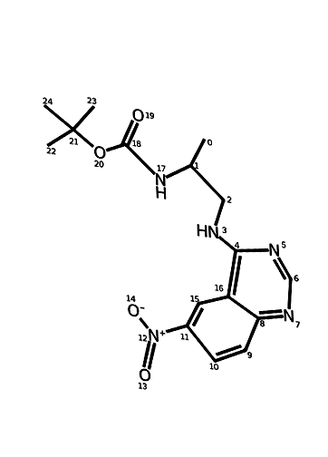 CC(CNc1ncnc2ccc([N+](=O)[O-])cc12)NC(=O)OC(C)(C)C